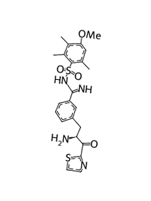 COc1cc(C)c(S(=O)(=O)NC(=N)c2cccc(C[C@H](N)C(=O)c3nccs3)c2)c(C)c1C